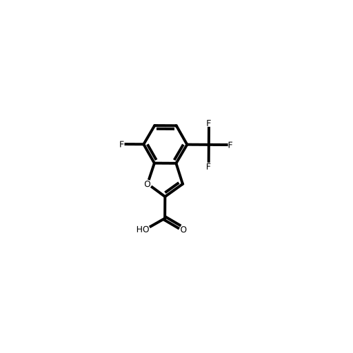 O=C(O)c1cc2c(C(F)(F)F)ccc(F)c2o1